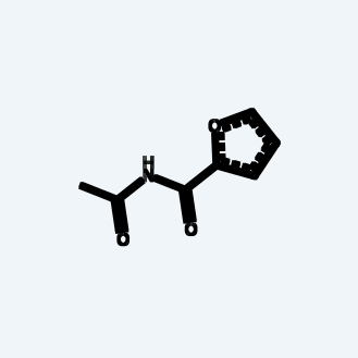 CC(=O)NC(=O)c1ccco1